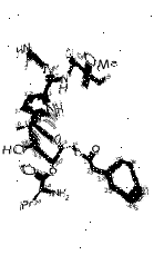 COC(C)(C)C(=O)N/C(=N/C=N)c1ccc([C@]2(C)O[C@H](COC(=O)CC3CCCCC3)[C@@H](OC(=O)[C@@H](N)C(C)C)[C@H]2O)[nH]1